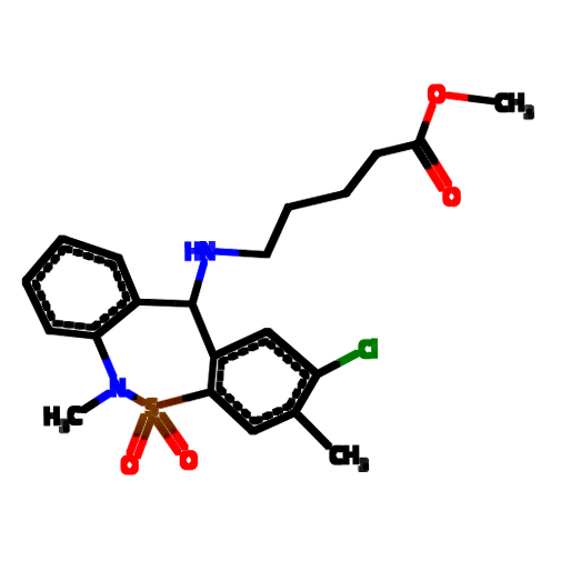 COC(=O)CCCCNC1c2ccccc2N(C)S(=O)(=O)c2cc(C)c(Cl)cc21